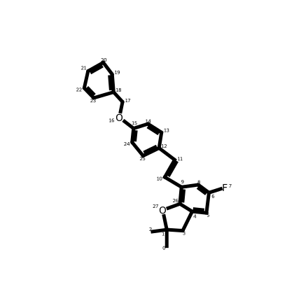 CC1(C)Cc2cc(F)cc(/C=C/c3ccc(OCc4ccccc4)cc3)c2O1